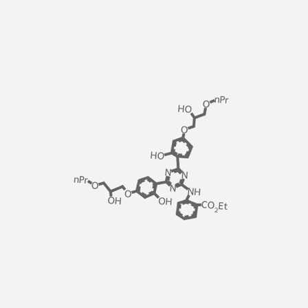 CCCOCC(O)COc1ccc(-c2nc(Nc3ccccc3C(=O)OCC)nc(-c3ccc(OCC(O)COCCC)cc3O)n2)c(O)c1